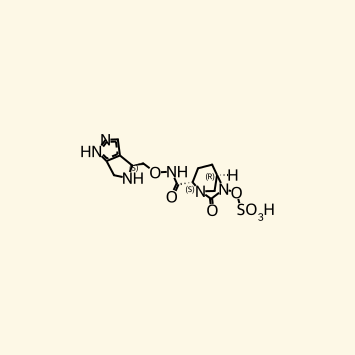 O=C(NOC[C@H]1NCc2[nH]ncc21)[C@@H]1CC[C@@H]2CN1C(=O)N2OS(=O)(=O)O